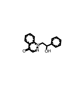 O=c1cnn(CC(O)c2ccccc2)c2ccccc12